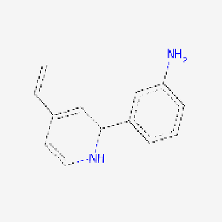 C=CC1=CC(c2cccc(N)c2)NC=C1